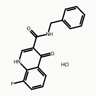 Cl.O=C(NCc1ccccc1)c1c[nH]c2c(F)cccc2c1=O